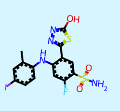 Cc1cc(I)ccc1Nc1cc(F)c(S(N)(=O)=O)cc1-c1nnc(O)s1